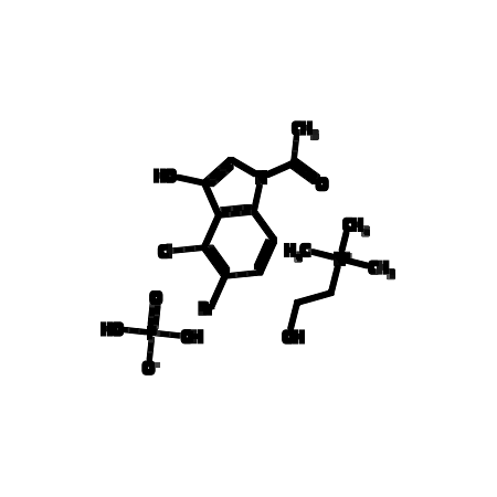 CC(=O)n1cc(O)c2c(Cl)c(Br)ccc21.C[N+](C)(C)CCO.O=P([O-])(O)O